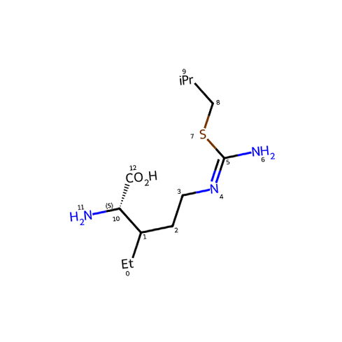 CCC(CCN=C(N)SCC(C)C)[C@H](N)C(=O)O